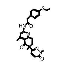 CCSc1ccc(CC(=O)Nc2cc(C)c3c(n2)CCC(C)(c2ccc(=O)n(C)n2)C3=O)cc1